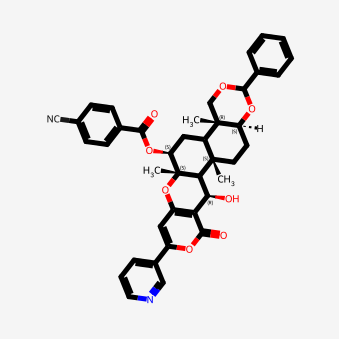 C[C@]12CC[C@@H]3OC(c4ccccc4)OC[C@@]3(C)C1C[C@H](OC(=O)c1ccc(C#N)cc1)[C@@]1(C)Oc3cc(-c4cccnc4)oc(=O)c3[C@H](O)C21